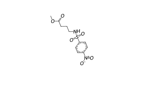 COC(=O)CCCNS(=O)(=O)c1ccc([N+](=O)[O-])cc1